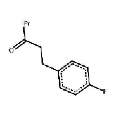 CC(C)C(=O)CCc1ccc(F)cc1